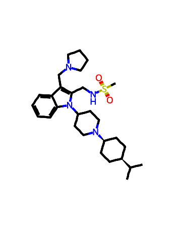 CC(C)[C@H]1CC[C@@H](N2CCC(n3c(CNS(C)(=O)=O)c(CN4CCCC4)c4ccccc43)CC2)CC1